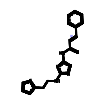 O=C(/C=C/c1ccccc1)Nc1nnc(NCCc2cccs2)s1